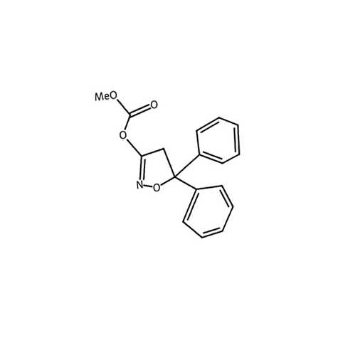 COC(=O)OC1=NOC(c2ccccc2)(c2ccccc2)C1